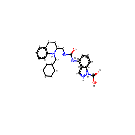 O=C(NCC1CCc2ccccc2N1CC1CCCCC1)Nc1cccc2c1cnn2C(=O)O